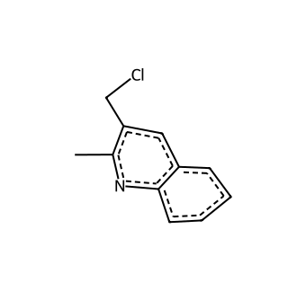 Cc1nc2ccccc2cc1CCl